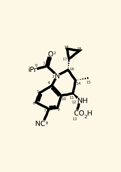 CC(C)C(=O)N1c2ccc(C#N)cc2[C@H](NC(=O)O)[C@@H](C)[C@H]1C1CC1